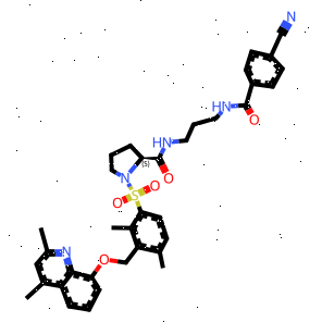 Cc1cc(C)c2cccc(OCc3c(C)ccc(S(=O)(=O)N4CCC[C@H]4C(=O)NCCCNC(=O)c4ccc(C#N)cc4)c3C)c2n1